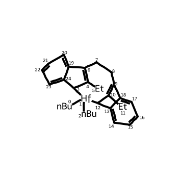 CCC[CH2][Hf]1([CH2]CCC)[CH]2C(CC)=C(CCC3=C(CC)[CH]1c1ccccc13)c1ccccc12